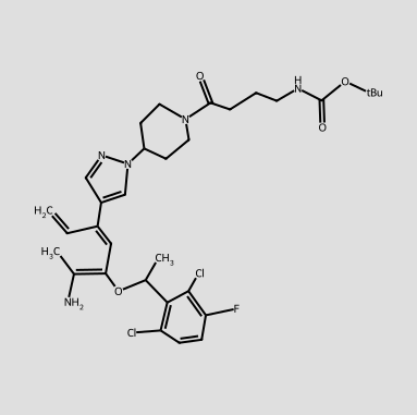 C=C/C(=C\C(OC(C)c1c(Cl)ccc(F)c1Cl)=C(/C)N)c1cnn(C2CCN(C(=O)CCCNC(=O)OC(C)(C)C)CC2)c1